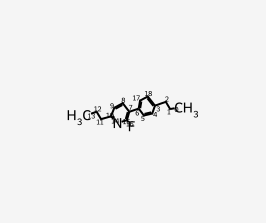 CCCc1ccc(-c2ccc(CCC)nc2F)cc1